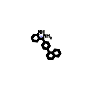 N=C1C=CC=C/C1=C(/N)c1ccc(-c2cccc3ccccc23)cc1